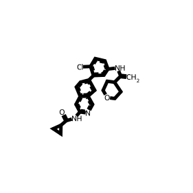 C=C(Nc1ccc(Cl)c(-c2ccc3cc(NC(=O)C4CC4)ncc3c2)c1)C1CCOCC1